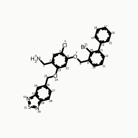 NCc1cc(Cl)c(OCc2cccc(-c3ccccc3)c2Br)cc1OCc1ccc2nsnc2c1